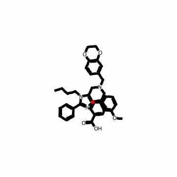 CCCCn1c(-c2ccccc2)nc(-c2cccc(OC)c2)c1CN(Cc1ccc(C(=O)O)cc1)Cc1ccc2c(c1)OCCO2